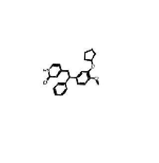 COc1ccc(C(Cc2cc[nH]c(=O)c2)c2ccccc2)cc1OC1CCCC1